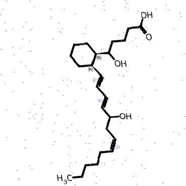 CCCCC/C=C\CC(O)/C=C/C=C/[C@H]1CCCC[C@H]1C(O)CCCC(=O)O